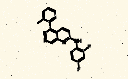 Cc1ccccc1-c1nncc2nc(Nc3ccc(F)cc3F)ccc12